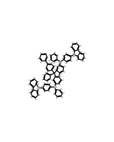 c1ccc(-c2ccc(C3(c4ccccc4)c4cc(N(c5ccccc5)c5ccc(-n6c7ccccc7c7ccccc76)cc5)ccc4-c4ccc(N(c5ccccc5)c5ccc(-n6c7ccccc7c7ccccc76)cc5)cc43)cc2)cc1